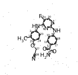 Cc1cc(Nc2nc(Nc3ccc(S(N)(=O)=O)cc3)ncc2F)ccc1OCC#N